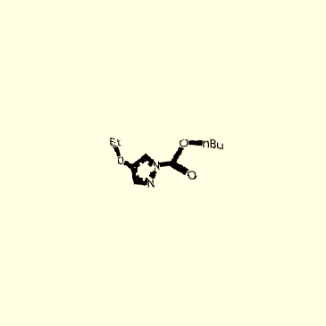 CCCCOC(=O)n1cc(OCC)cn1